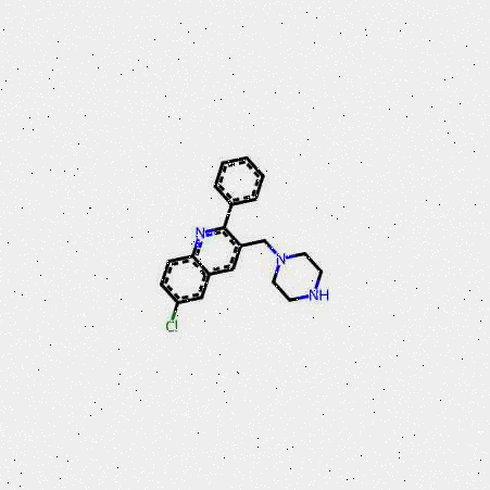 Clc1ccc2nc(-c3ccccc3)c(CN3CCNCC3)cc2c1